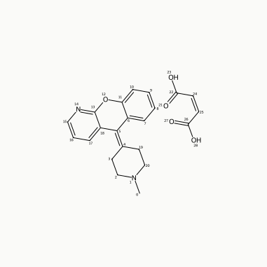 CN1CCC(=C2c3ccccc3Oc3ncccc32)CC1.O=C(O)/C=C\C(=O)O